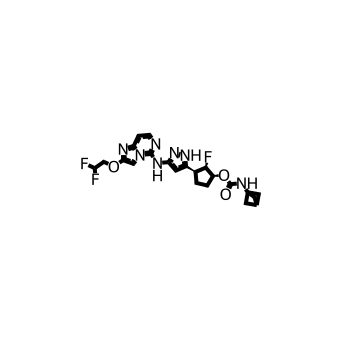 O=C(NC12CC(C1)C2)O[C@H]1CC[C@@H](c2cc(Nc3nccc4nc(OCC(F)F)cn34)n[nH]2)[C@H]1F